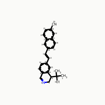 CCC(C)(C)C1CN=Cc2ccc(/C=C/c3ccc4cc(C#N)ccc4c3)cc21